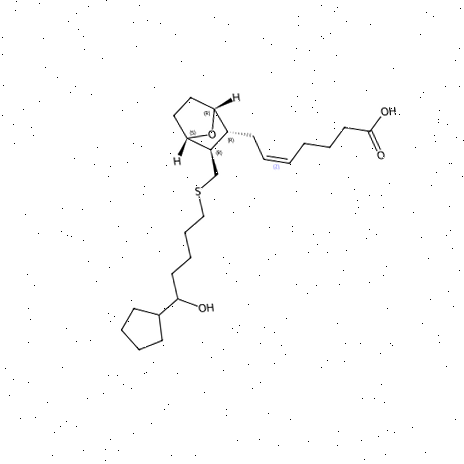 O=C(O)CCC/C=C\C[C@@H]1[C@@H](CSCCCCC(O)C2CCCC2)[C@@H]2CC[C@H]1O2